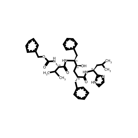 CC(C)C[C@H](NC(=O)[C@H](Cc1ccccc1)C[C@H](O)[C@H](Cc1ccccc1)NC(=O)[C@@H](NC(=O)OCc1ccccc1)C(C)C)c1ncc[nH]1